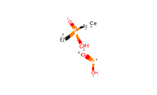 CCP(=O)(O)CC.O=PO.[Ce]